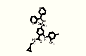 Cc1cc(I)ccc1Nc1cc(S(=O)(=O)NC(c2cccnc2)c2cccnc2)ccc1C(=O)NOCC1CC1